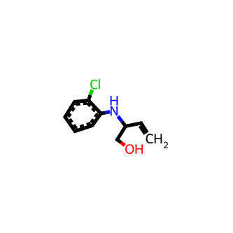 C=CC(CO)Nc1ccccc1Cl